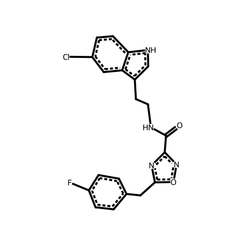 O=C(NCCc1c[nH]c2ccc(Cl)cc12)c1noc(Cc2ccc(F)cc2)n1